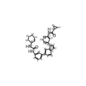 O=C(Nc1cccc(-c2ccc3ccn(-c4cc(NC(=O)C5CC5)ncn4)c3c2)c1)NC1CCCCC1